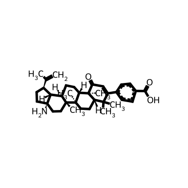 C=C(C)[C@@H]1CC[C@]2(N)CC[C@]3(C)[C@H](CC[C@@H]4[C@@]5(C)C(=O)C=C(c6ccc(C(=O)O)cc6)C(C)(C)[C@@H]5CC[C@]43C)[C@@H]12